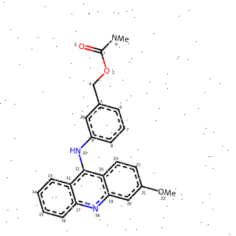 CNC(=O)OCc1cccc(Nc2c3ccccc3nc3cc(OC)ccc23)c1